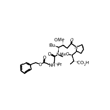 CC[C@H](C)[C@@H]([C@@H](CC(=O)N1CCCC1[C@H](OC)[C@@H](C)C(=O)O)OC)N(C)C(=O)[C@@H](NC(=O)OCc1ccccc1)C(C)C